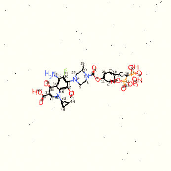 COc1c(N2CCN(C(=O)Oc3ccc(CC(P(=O)(O)O)P(=O)(O)O)cc3)C(C)C2)c(F)c(N)c2c(=O)c(C(=O)O)cn(C3CC3)c12